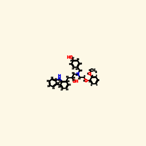 COc1ccccc1OCCN(Cc1ccc(O)cc1)CC(O)Cc1cccc2c1[nH]c1ccccc12